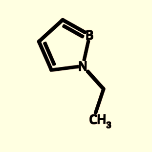 CCn1bccc1